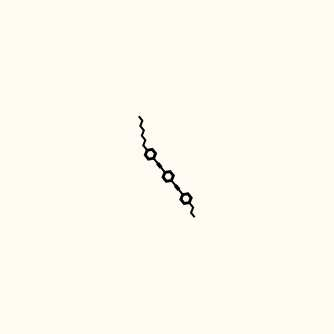 CCCCCCCc1ccc(C#Cc2ccc(C#Cc3ccc(CCC)cc3)cc2)cc1